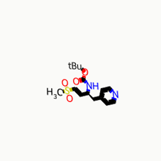 CC(C)(C)OC(=O)N[C@H](/C=C/S(C)(=O)=O)Cc1ccncc1